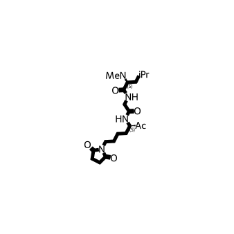 CN[C@@H](CC(C)C)C(=O)NCC(=O)N[C@@H](CCCCN1C(=O)CCC1=O)C(C)=O